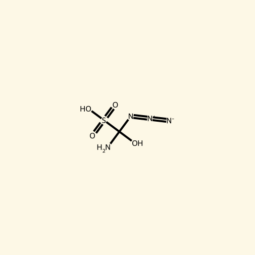 [N-]=[N+]=NC(N)(O)S(=O)(=O)O